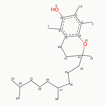 Cc1c(C)c2c(c(C)c1O)CCC(C)(CCCC(C)CCCC(C)C)O2